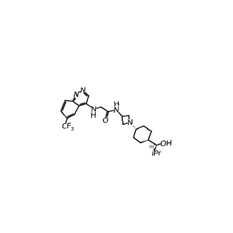 CC(C)[C@H](O)[C@H]1CC[C@H](N2CC(NC(=O)CNc3cnnc4ccc(C(F)(F)F)cc34)C2)CC1